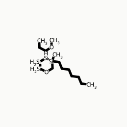 CCCCCCC[Si]1(C)CO[SiH2][SiH2][SiH]1C(CC)OC